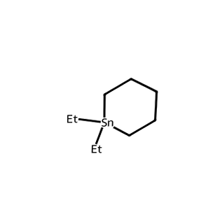 C[CH2][Sn]1([CH2]C)[CH2]CCC[CH2]1